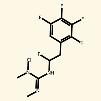 CN=C(NC(F)Cc1cc(F)c(F)c(F)c1F)N(C)Cl